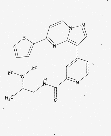 CCN(CC)C(C)CNC(=O)c1cc(-c2cnn3ccc(-c4cccs4)nc23)ccn1